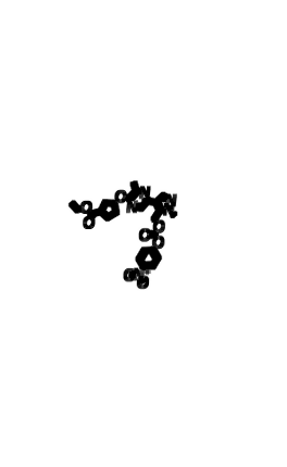 CCOC(=O)C1CCC(Oc2ncc(-c3cnn(C)c3COC(=O)Oc3ccc([N+](=O)[O-])cc3)nc2C)C1